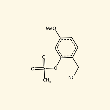 COc1ccc(CC#N)c(OS(C)(=O)=O)c1